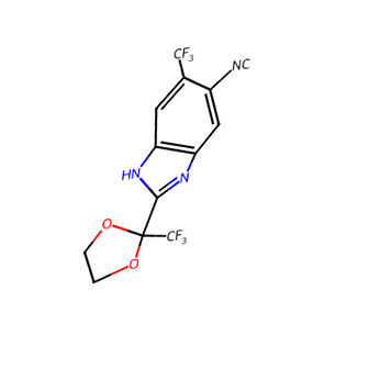 [C-]#[N+]c1cc2nc(C3(C(F)(F)F)OCCO3)[nH]c2cc1C(F)(F)F